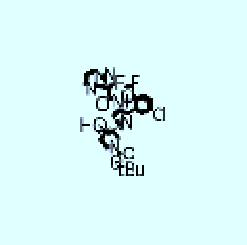 CC(C)(C)OC(=O)N1CC[C@@H](O)[C@H](n2cc(NC(=O)c3cnn4cccnc34)c(-c3cc(Cl)ccc3OC(F)F)n2)C1